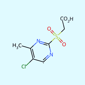 Cc1nc(S(=O)(=O)CC(=O)O)n[c]c1Cl